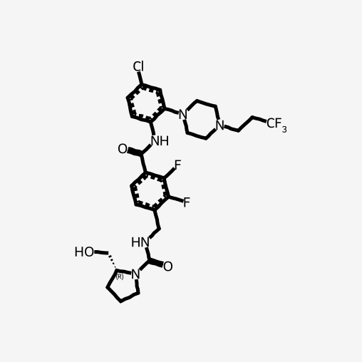 O=C(Nc1ccc(Cl)cc1N1CCN(CCC(F)(F)F)CC1)c1ccc(CNC(=O)N2CCC[C@@H]2CO)c(F)c1F